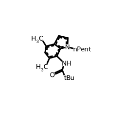 CCCCCn1ccc2c(C)cc(C)c(NC(=O)C(C)(C)C)c21